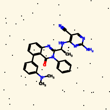 C[C@H](Nc1nc(N)ncc1C#N)c1nc2cccc(-c3cccc(N(C)C)c3)c2c(=O)n1-c1ccccc1